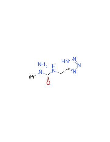 CC(C)N(N)C(=O)NCc1nnn[nH]1